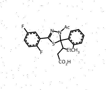 CCC(CC(=O)O)C1(c2ccccc2C)SC(c2cc(F)ccc2F)=NN1C(C)=O